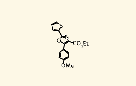 CCOC(=O)c1nc(-c2cccs2)oc1-c1ccc(OC)cc1